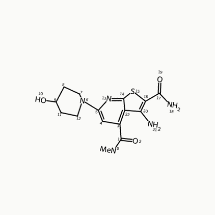 CNC(=O)c1cc(N2CCC(O)CC2)nc2sc(C(N)=O)c(N)c12